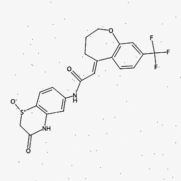 O=C(/C=C1\CCCOc2cc(C(F)(F)F)ccc21)Nc1ccc2c(c1)NC(=O)C[S+]2[O-]